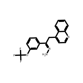 NN=C(Cc1ccnc2ccccc12)c1cccc(OC(F)(F)F)c1